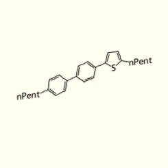 CCCCCc1ccc(-c2ccc(-c3ccc(CCCCC)s3)cc2)cc1